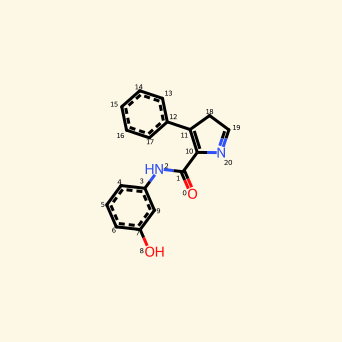 O=C(Nc1cccc(O)c1)C1=C(c2ccccc2)CC=N1